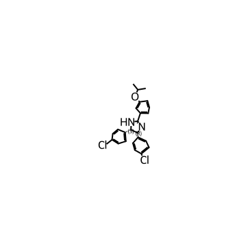 CC(C)Oc1cccc(C2=N[C@H](c3ccc(Cl)cc3)[C@H](c3ccc(Cl)cc3)N2)c1